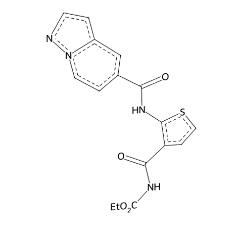 CCOC(=O)NC(=O)c1ccsc1NC(=O)c1ccn2nccc2c1